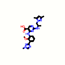 COc1c(Nc2nc(NC(C)Cn3nc(C)cc3C)ncc2C(=O)O)cccc1-c1ncn(C)n1